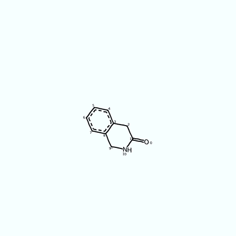 O=C1Cc2ccccc2[C]N1